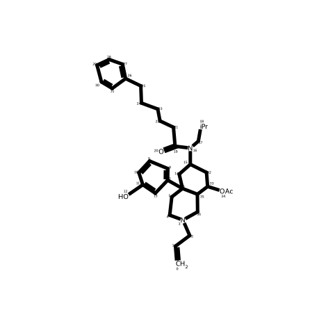 C=CCN1CCC2(c3cccc(O)c3)CC(N(CC(C)C)C(=O)CCCCCc3ccccc3)CC(OC(C)=O)C2C1